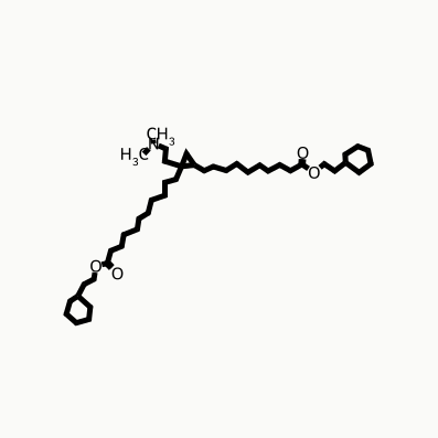 CN(C)CCC1(CCCCCCCCCCC(=O)OCCC2CCCCC2)CC1CCCCCCCCCC(=O)OCCC1CCCCC1